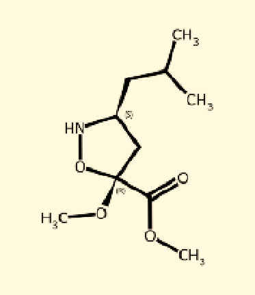 COC(=O)[C@@]1(OC)C[C@H](CC(C)C)NO1